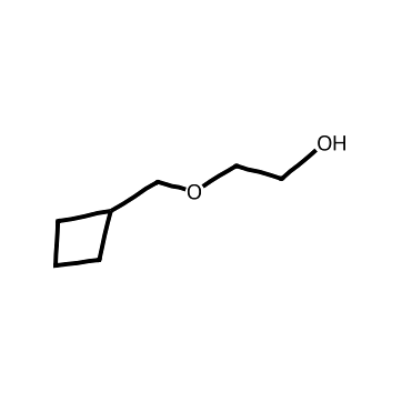 OCCOCC1CCC1